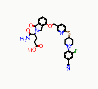 N#Cc1ccc(N2CCC(Sc3ccc(COc4cccc5c4CN(C(CCC(=O)O)C(N)=O)C5=O)cn3)CC2)c(F)c1